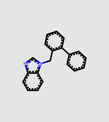 c1ccc(-c2ccccc2Cn2cnc3ccccc32)cc1